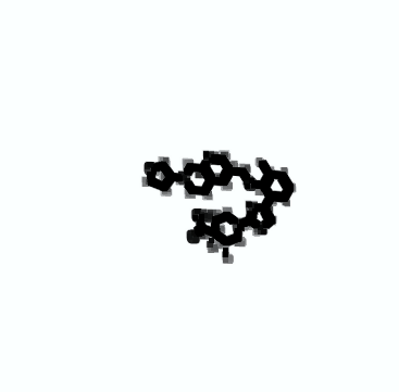 Cc1cccc(-c2csc(N3CC[C@](C)(C(=O)O)[C@@H](C)C3)n2)c1OCc1cnc2c(c1)CCN(C1CCOC1)C2